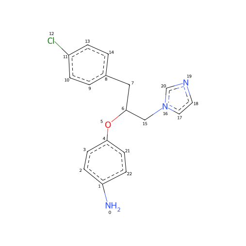 Nc1ccc(OC(Cc2ccc(Cl)cc2)Cn2ccnc2)cc1